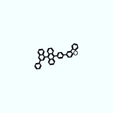 c1ccc(-c2cc(-c3c4ccccc4c(-c4ccc(-c5ccc6oc7ccccc7c6c5)cc4)c4ccccc34)c3ccccc3c2)cc1